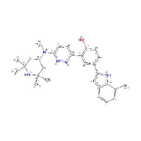 CC1CC=Cc2cc(-c3ccc(O)c(-c4ccc(N(C)C5CC(C)(C)NC(C)(C)C5)nn4)c3)[nH]c21